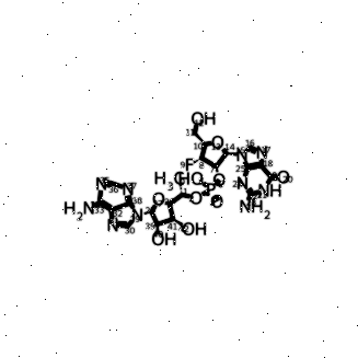 C[C@H](OP(=O)(O)O[C@@H]1[C@H](F)[C@@H](CO)O[C@H]1n1cnc2c(=O)[nH]c(N)nc21)[C@H]1O[C@@H](n2cnc3c(N)ncnc32)[C@H](O)[C@@H]1O